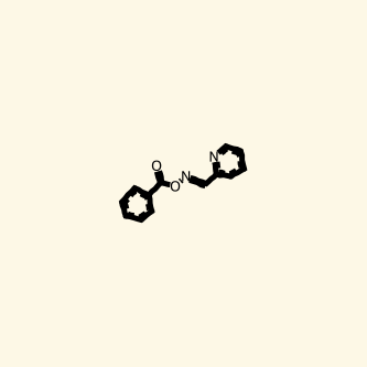 O=C(ON=Cc1ccccn1)c1ccccc1